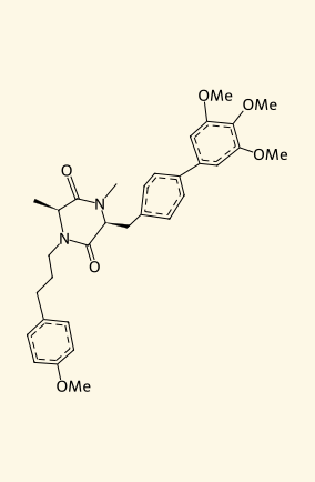 COc1ccc(CCCN2C(=O)[C@H](Cc3ccc(-c4cc(OC)c(OC)c(OC)c4)cc3)N(C)C(=O)[C@@H]2C)cc1